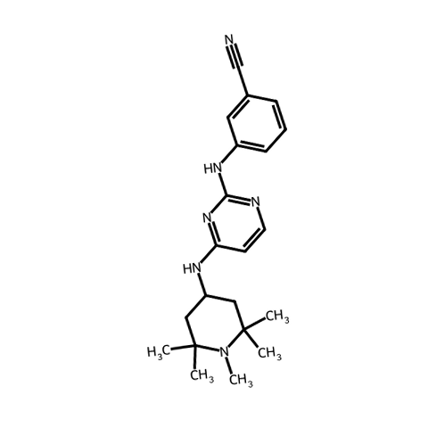 CN1C(C)(C)CC(Nc2ccnc(Nc3cccc(C#N)c3)n2)CC1(C)C